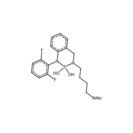 CNCCCCN1Cc2ccccc2N(c2c(F)cccc2F)S1(O)O